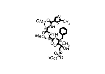 CCCCCCCCS(=O)(=O)OC[C@@](C)(O)C(=O)[C@H](Cc1ccccc1)NC(=O)[C@H](COC)NC(=O)[C@H](COC)NC(=O)c1cnc(C)s1